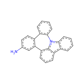 Nc1ccc2c(c1)-c1cccc3c4ccccc4n(c13)-c1ccccc1-2